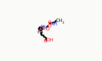 CCCCNC(=O)OCC(=O)NC[C@H]1[C@@H](C/C=C\CCCC(=O)O)[C@H]2CC[C@@H]1O2